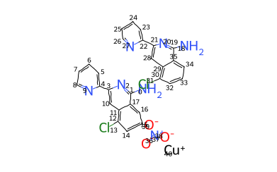 Nc1nc(-c2ccccn2)cc2c(Cl)cccc12.Nc1nc(-c2ccccn2)cc2c(Cl)cccc12.O=[N+]([O-])[O-].[Cu+]